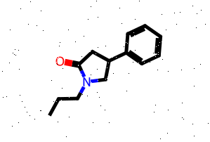 CCCN1CC(c2ccccc2)CC1=O